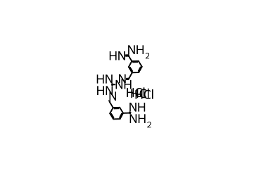 Cl.Cl.Cl.N=C(NN=Cc1cccc(C(=N)N)c1)NN=Cc1cccc(C(=N)N)c1